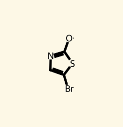 [O]c1ncc(Br)s1